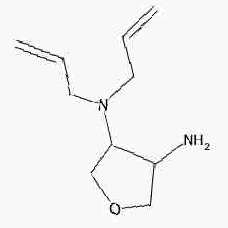 C=CCN(CC=C)C1COCC1N